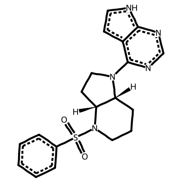 O=S(=O)(c1ccccc1)N1CCC[C@@H]2[C@H]1CCN2c1ncnc2[nH]ccc12